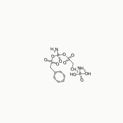 CCS(=O)(=O)OP(N)(=O)OS(=O)(=O)Cc1ccccc1.NP(=O)(O)O